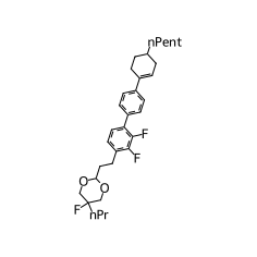 CCCCCC1CC=C(c2ccc(-c3ccc(CCC4OCC(F)(CCC)CO4)c(F)c3F)cc2)CC1